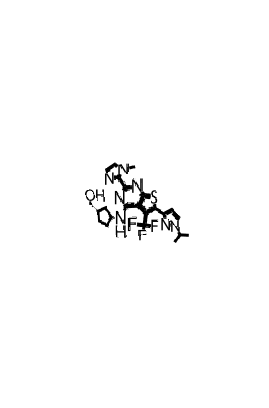 CC(C)n1ccc(-c2sc3nc(-c4nccn4C)nc(N[C@@H]4CC[C@H](CO)C4)c3c2C(F)(F)F)n1